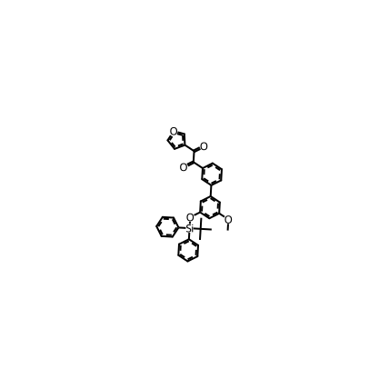 COc1cc(O[Si](c2ccccc2)(c2ccccc2)C(C)(C)C)cc(-c2cccc(C(=O)C(=O)c3ccoc3)c2)c1